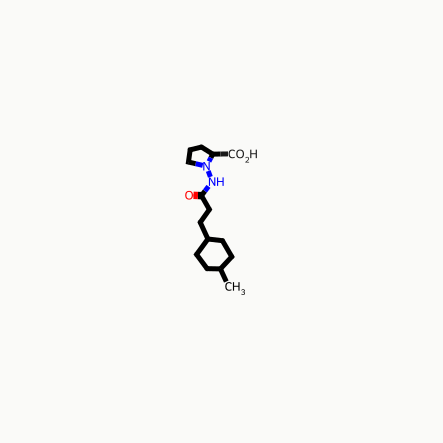 CC1CCC(CCC(=O)NN2CCCC2C(=O)O)CC1